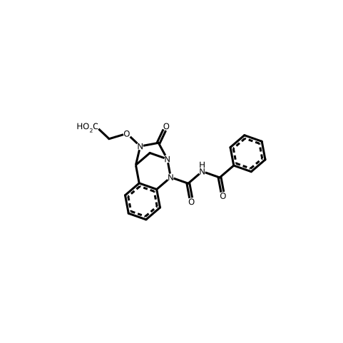 O=C(O)CON1C(=O)N2CC1c1ccccc1N2C(=O)NC(=O)c1ccccc1